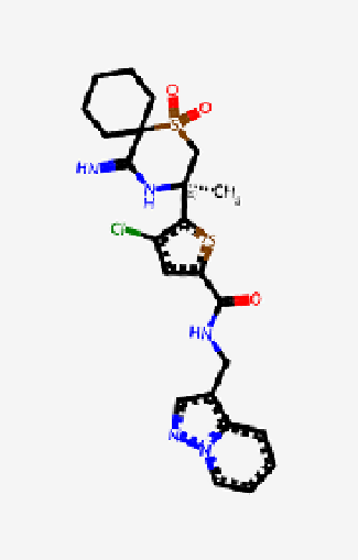 C[C@@]1(c2sc(C(=O)NCc3cnn4ccccc34)cc2Cl)CS(=O)(=O)C2(CCCCC2)C(=N)N1